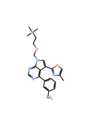 Cc1coc(-c2cn(COCC[Si](C)(C)C)c3ncnc(-c4cccc([N+](=O)[O-])c4)c23)n1